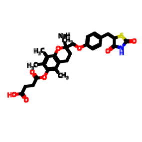 Cc1c(C)c2c(c(C)c1OC(=O)CCC(=O)O)CCC(C)(COc1ccc(CC3SC(=O)NC3=O)cc1)O2.[NaH]